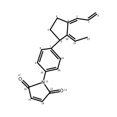 C=C/C=C1/CCC(c2ccc(N3C(=O)C=CC3=O)cc2)/C1=C/C